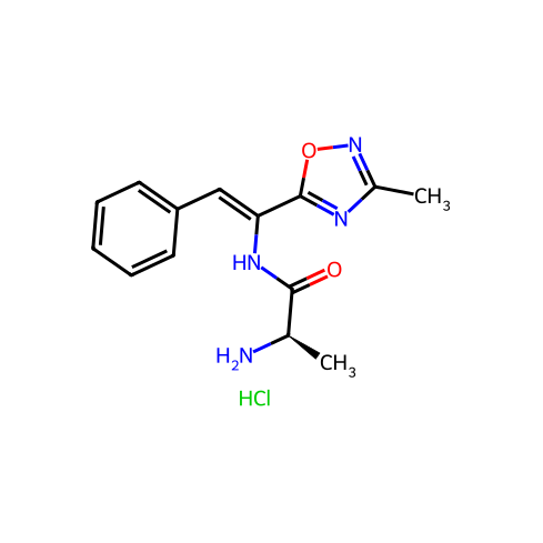 Cc1noc(C(=Cc2ccccc2)NC(=O)[C@@H](C)N)n1.Cl